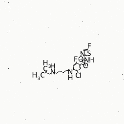 CC(C)CNCCCCNc1cc(F)c(S(=O)(=O)Nc2ncc(F)s2)cc1Cl